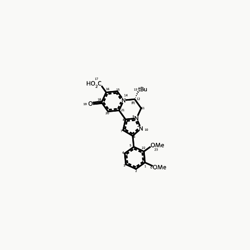 COc1cccc(-c2cc3n(n2)C[C@@H](C(C)(C)C)n2cc(C(=O)O)c(=O)cc2-3)c1OC